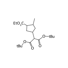 CCOC(=O)C1CC(C(C(=O)OC(C)(C)C)C(=O)OC(C)(C)C)CC1C